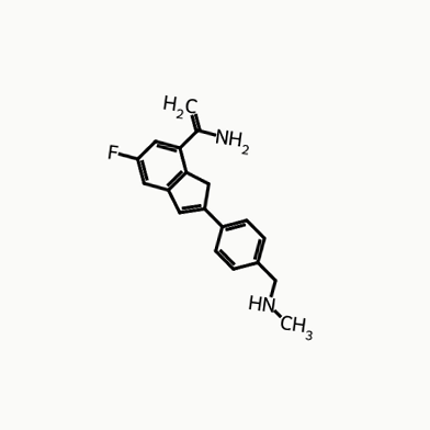 C=C(N)c1cc(F)cc2c1CC(c1ccc(CNC)cc1)=C2